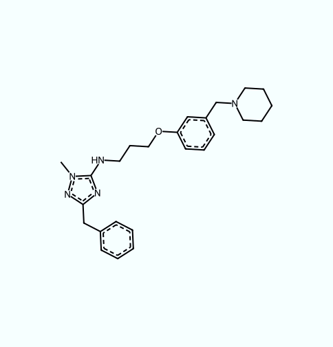 Cn1nc(Cc2ccccc2)nc1NCCCOc1cccc(CN2CCCCC2)c1